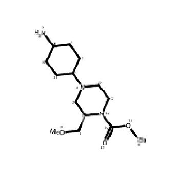 COC[C@H]1CN(C2CCC(N)CC2)CCN1C(=O)OC(C)(C)C